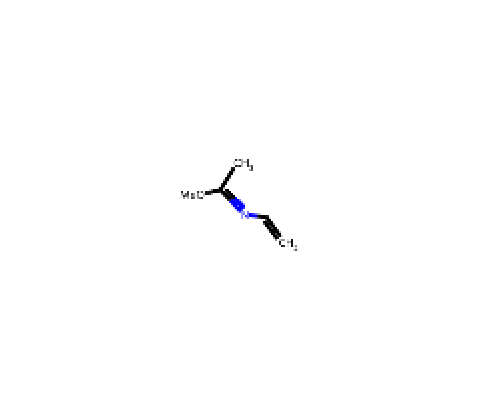 C=C/N=C(\C)OC